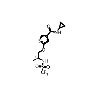 C[C@@H](COc1cc(C(=O)NC2CC2)cs1)NS(=O)(=O)C(F)(F)F